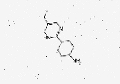 CCC1=CN=C(N2CCC(N)CC2)NC1